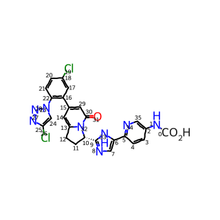 O=C(O)Nc1ccc(-c2cnc([C@@H]3CCc4cc(-c5cc(Cl)ccc5-n5cc(Cl)nn5)cc(=O)n43)[nH]2)nc1